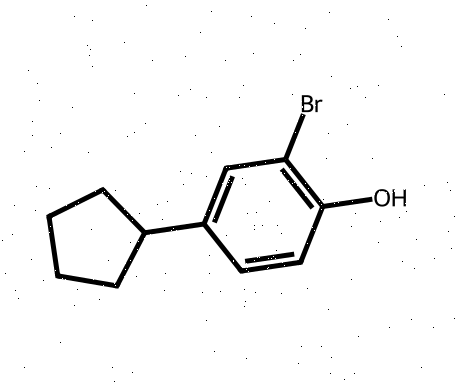 Oc1ccc(C2CCCC2)cc1Br